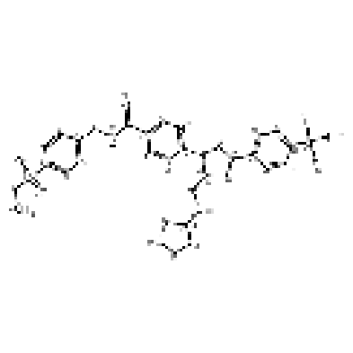 CCS(=O)(=O)c1ccc(CNC(=O)c2cnc(N3CC(c4ccc(C(F)(F)F)cc4)C[C@H]3CO[C@H]3CCOC3)nc2)cc1